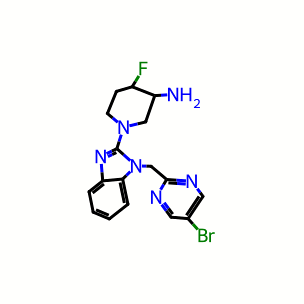 NC1CN(c2nc3ccccc3n2Cc2ncc(Br)cn2)CCC1F